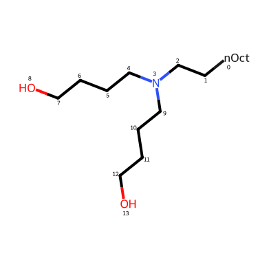 CCCCCCCCCCN(CCCCO)CCCCO